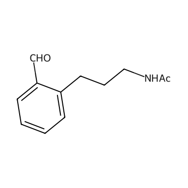 CC(=O)NCCCc1ccccc1C=O